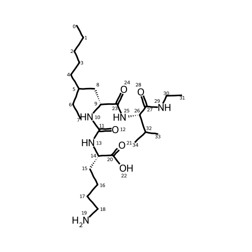 CCCCCC(CC)C[C@@H](NC(=O)N[C@@H](CCCCN)C(=O)O)C(=O)N[C@H](C(=O)NCC)C(C)C